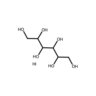 I.OCC(O)C(O)C(O)C(O)CO